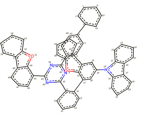 c1ccc(-c2ccc(-c3nc(-c4ccccc4-c4cc(-n5c6ccccc6c6ccccc65)cc5c4oc4ccccc45)nc(-c4cccc5c4oc4ccccc45)n3)cc2)cc1